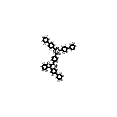 c1ccc(-c2ccc(-c3nc(-c4ccc(-c5ccccc5)cc4)nc(-c4ccc(-c5nc6cc(-c7ccccc7)ccc6c6c5oc5ccccc56)cc4)n3)cc2)cc1